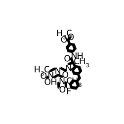 COC(=O)c1ccc(NC(=O)C2(C)CN(C(=O)CN3CC(C)N(C(=O)O)CC3CN3CCOCC3C)c3cc(Cc4ccc(F)cc4)ccc32)cc1